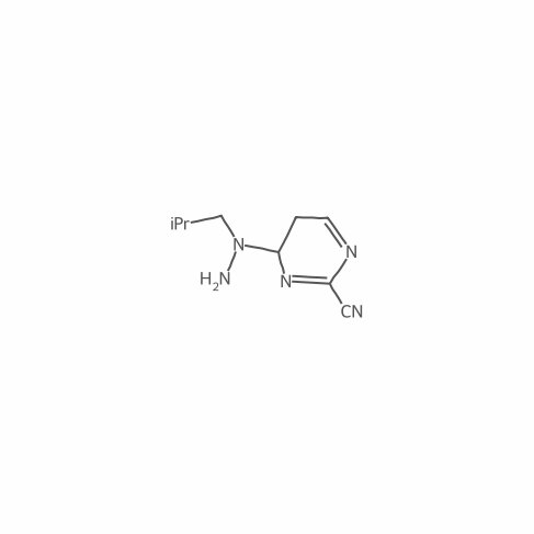 CC(C)CN(N)C1CC=NC(C#N)=N1